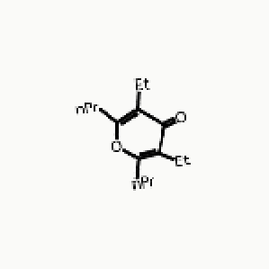 CCCc1oc(CCC)c(CC)c(=O)c1CC